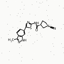 Cc1n[nH]c2cc(-c3cnc(NC(=O)[C@H]4CCN(C#N)C4)s3)ccc12